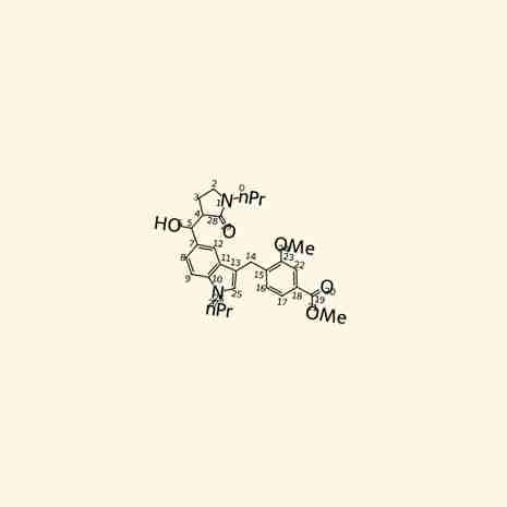 CCCN1CCC(C(O)c2ccc3c(c2)c(Cc2ccc(C(=O)OC)cc2OC)cn3CCC)C1=O